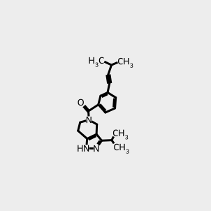 CC(C)C#Cc1cccc(C(=O)N2CCc3[nH]nc(C(C)C)c3C2)c1